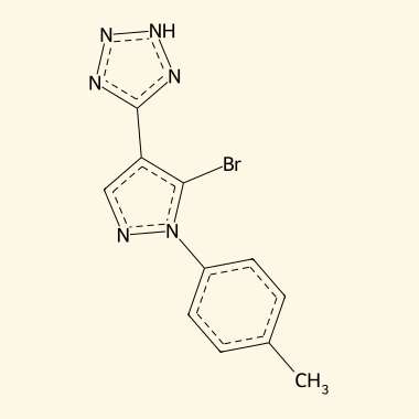 Cc1ccc(-n2ncc(-c3nn[nH]n3)c2Br)cc1